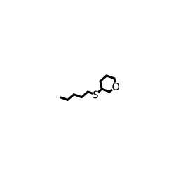 [CH2]CCCCSC1CCCOC1